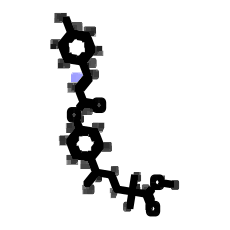 COC(=O)C(C)(C)CCC(C)c1ccc(OC(=O)/C=C/c2ccc(C)cc2)cc1